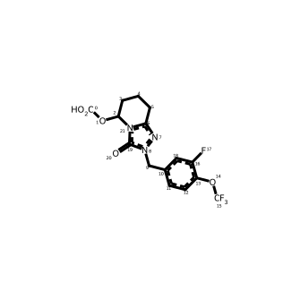 O=C(O)OC1CCCc2nn(Cc3ccc(OC(F)(F)F)c(F)c3)c(=O)n21